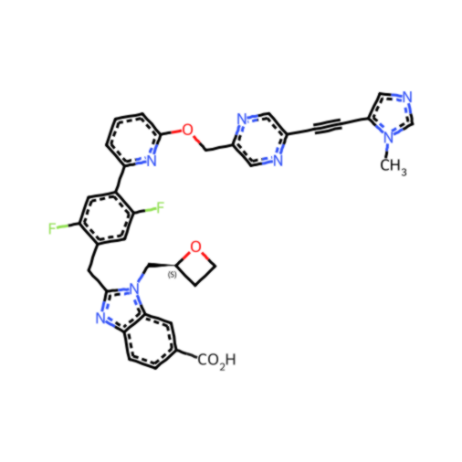 Cn1cncc1C#Cc1cnc(COc2cccc(-c3cc(F)c(Cc4nc5ccc(C(=O)O)cc5n4C[C@@H]4CCO4)cc3F)n2)cn1